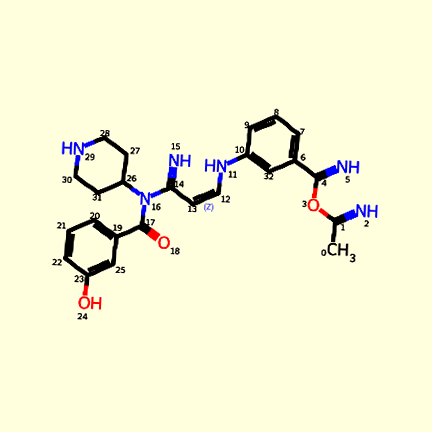 CC(=N)OC(=N)c1cccc(N/C=C\C(=N)N(C(=O)c2cccc(O)c2)C2CCNCC2)c1